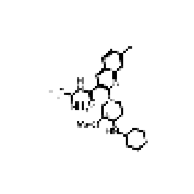 CO[C@H]1CN(c2nc3cc(F)ccc3cc2C(=O)NC(C)N)CCC1NC1CCCCC1